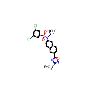 CCOC(=O)c1noc(-c2ccc3cc(N(CC(=O)O)S(=O)(=O)c4cc(Cl)cc(Cl)c4)ccc3c2)n1